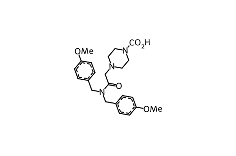 COc1ccc(CN(Cc2ccc(OC)cc2)C(=O)CN2CCN(C(=O)O)CC2)cc1